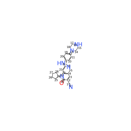 N#Cc1cc2cnc(Nc3ccc(N4CCNCC4)cc3)cc2n(C2CCCC2)c1=O